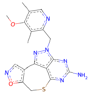 COc1c(C)cnc(Cn2nc3c4c(nc(N)nc42)SCc2oncc2-3)c1C